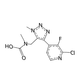 CN(Cc1c(-c2ccnc(Cl)c2F)nnn1C)C(=O)O